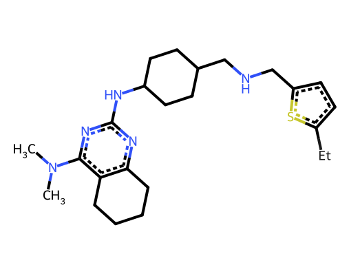 CCc1ccc(CNCC2CCC(Nc3nc4c(c(N(C)C)n3)CCCC4)CC2)s1